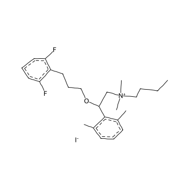 CCCC[N+](C)(C)CC(OCCCc1c(F)cccc1F)c1c(C)cccc1C.[I-]